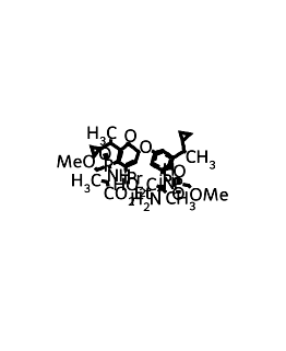 CCOC(=O)C(C)NP(=O)(COC)C1=C(C(C)C2CC2)C(=O)C(Oc2cc(C(C)C)c(OP(=O)(COC)NC(C)(N)C(=O)O)c(C(C)C3CC3)c2)C=C1C(C)C